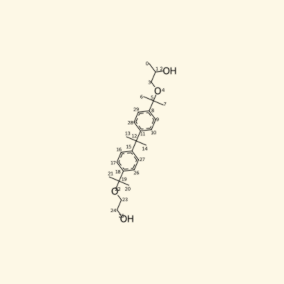 CC(O)COC(C)(C)c1ccc(C(C)(C)c2ccc(C(C)(C)OCCO)cc2)cc1